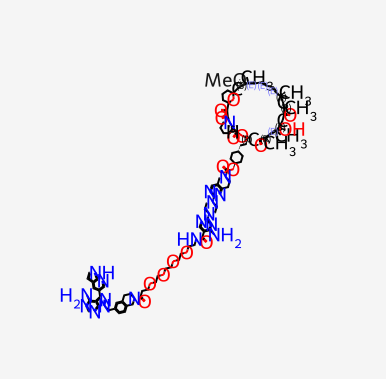 CO[C@H]1CC2CCCC(O2)C(=O)C(=O)N2CCCC[C@H]2C(=O)O[C@H](CC[C@H]2CC[C@H](OC(=O)N3CCc4nc(N5CCN(c6ncc(C(=O)NCCOCCOCCOCCOCCC(=O)N7CCc8cc(Cn9nc(-c%10cnc%11[nH]ccc%11c%10)c%10c(N)ncnc%109)ccc8C7)c(N)n6)CC5)ncc4C3)CC2)CC(=O)[C@H](C)/C=C(\C)[C@@H](O)CC(=O)[C@H](C)C[C@H](C)/C=C/C=C/C=C/1C